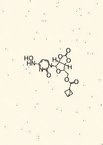 O=C1O[C@@H]2[C@H](O1)C(COC(=O)C13CC(C1)C3)O[C@H]2n1ccc(NO)nc1=O